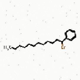 CCCCCCCCCCCC(Br)c1ccccc1